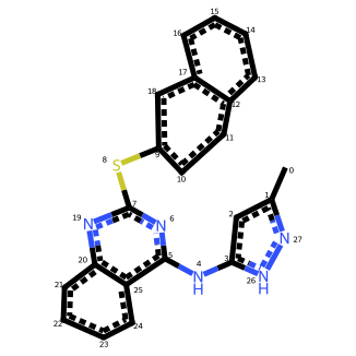 Cc1cc(Nc2nc(Sc3ccc4ccccc4c3)nc3ccccc23)[nH]n1